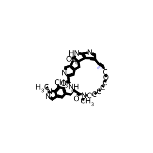 Cc1cc(C[C@H]2NC(=O)c3cc4c(cn3)C[C@@]3(C4)C(=O)Nc4ncc(cc43)/C=C/COCCCCCN(C)C2=O)cc2cnn(C)c12